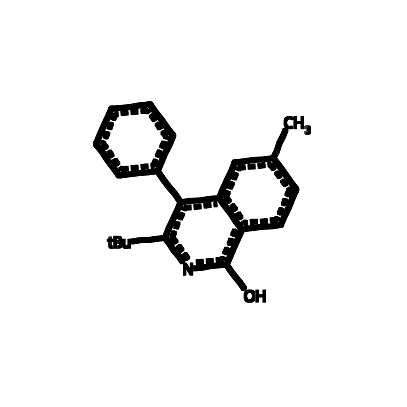 Cc1ccc2c(O)nc(C(C)(C)C)c(-c3ccccc3)c2c1